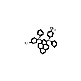 Cc1ccc(N(c2ccccc2)c2cc(N(c3ccccc3)c3ccc(C)cc3)c3ccc4cccc5ccc2c3c54)cc1